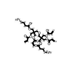 C=CC(=O)OCC(COCC(COC(=O)C=C)(COC(=O)C=C)COC(=O)CCSCCC)(COC(=O)C=C)COC(=O)CCSCCC